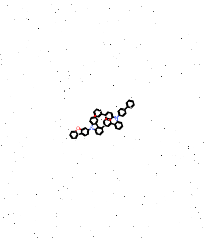 c1ccc(-c2ccc(N(c3ccc(-c4ccccc4)cc3)c3ccccc3-c3cccc(-c4cccc5c4c4ccccc4n5-c4ccc5c(c4)oc4ccccc45)c3)cc2)cc1